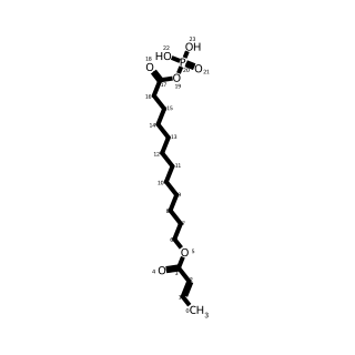 CC=CC(=O)OCCCCCCCCCCCC(=O)OP(=O)(O)O